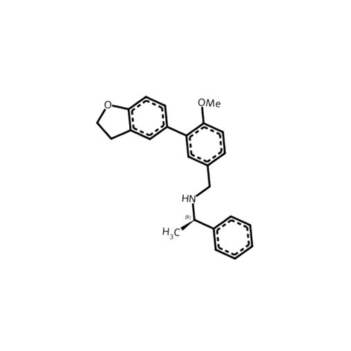 COc1ccc(CN[C@H](C)c2ccccc2)cc1-c1ccc2c(c1)CCO2